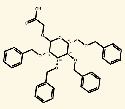 O=C(O)COC1O[C@H](COCc2ccccc2)[C@@H](OCc2ccccc2)[C@H](OCc2ccccc2)[C@@H]1OCc1ccccc1